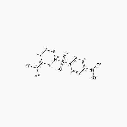 O=[N+]([O-])c1ccc(S(=O)(=O)N2CCCC(C(F)F)C2)cc1